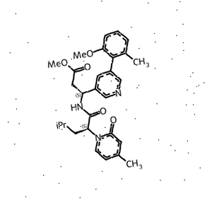 COC(=O)C[C@H](NC(=O)[C@H](CC(C)C)n1ccc(C)cc1=O)c1cncc(-c2c(C)cccc2OC)c1